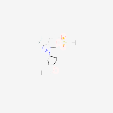 CCC1C(C(F)(F)F)=NN(c2ccc(OC)cc2)C1COS(C)(=O)=O